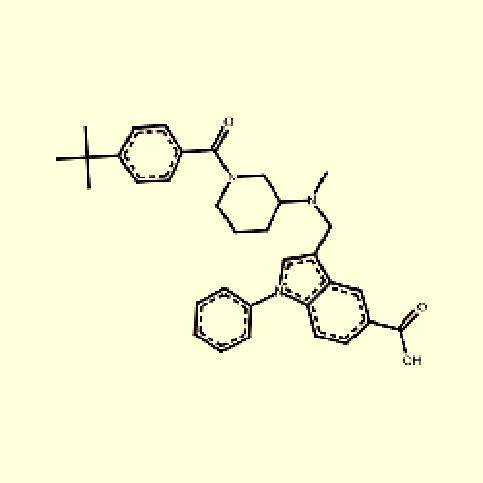 CN(Cc1cn(-c2ccccc2)c2ccc(C(=O)O)cc12)C1CCCN(C(=O)c2ccc(C(C)(C)C)cc2)C1